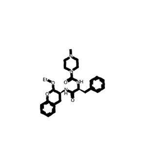 CCOC1Oc2ccccc2C[C@@H]1NC(=O)[C@H](Cc1ccccc1)NC(=O)N1CCN(C)CC1